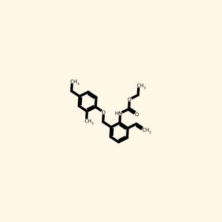 C=Cc1cccc(COc2ccc(CC)cc2C)c1NC(=O)OCC